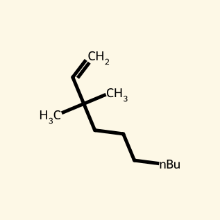 C=CC(C)(C)CCCCCCC